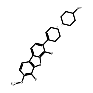 CCCC1CCC([C@H]2CC=C(c3ccc4c(sc5c(F)c(OC(F)(F)F)ccc54)c3F)CC2)CC1